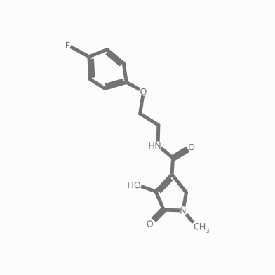 CN1CC(C(=O)NCCOc2ccc(F)cc2)=C(O)C1=O